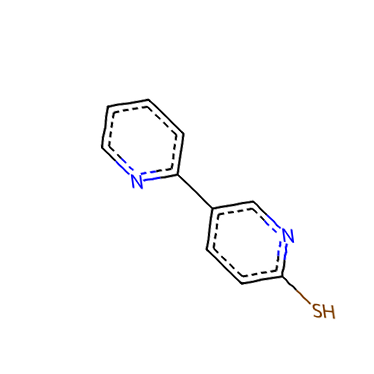 Sc1ccc(-c2ccccn2)cn1